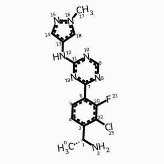 C[C@@H](N)c1ccc(-c2ncnc(Nc3cnn(C)c3)n2)c(F)c1Cl